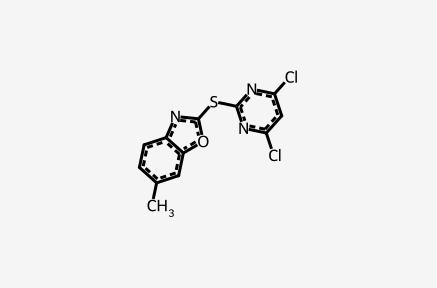 Cc1ccc2nc(Sc3nc(Cl)cc(Cl)n3)oc2c1